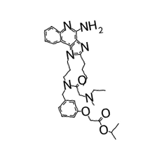 CCCCc1nc2c(N)nc3ccccc3c2n1CCCN(Cc1cccc(OCC(=O)OC(C)C)c1)C(=O)CN(C)CC